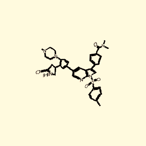 Cc1ccc(S(=O)(=O)n2cc(-c3ccc(C(=O)N(C)C)cc3)c3cc(-c4ccc(N5CCN(C)CC5)c(C5CNC(=O)C5)c4)cnc32)cc1